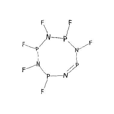 Fn1pnp(F)n(F)p(F)n(F)p1F